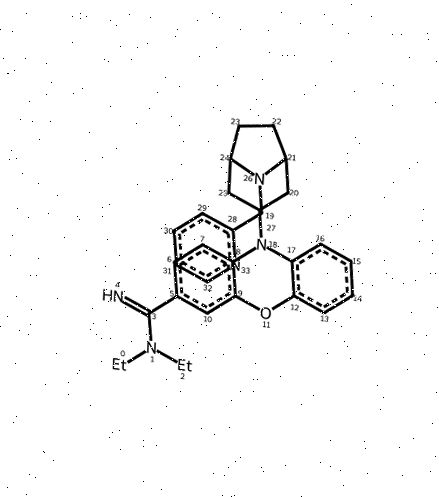 CCN(CC)C(=N)c1ccc2c(c1)Oc1ccccc1N2C1CC2CCC(C1)N2Cc1ccccn1